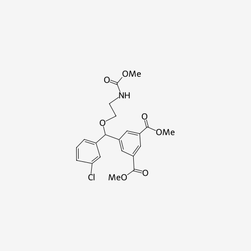 COC(=O)NCCOC(c1cccc(Cl)c1)c1cc(C(=O)OC)cc(C(=O)OC)c1